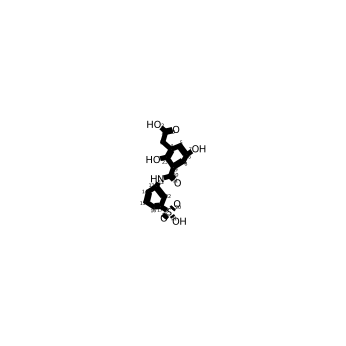 O=C(O)Cc1cc(O)cc(C(=O)Nc2cccc(S(=O)(=O)O)c2)c1O